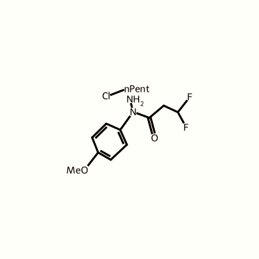 CCCCCCl.COc1ccc(N(N)C(=O)CC(F)F)cc1